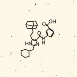 O=C(O)c1cccc(NC(=O)c2nc(CC3CCCCC3)[nH]c2CCC23CC4CC(CC(C4)C2)C3)c1